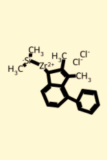 CC1=C(C)[CH]([Zr+2][Si](C)C)c2cccc(-c3ccccc3)c21.[Cl-].[Cl-]